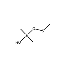 CSO[Si](C)(C)O